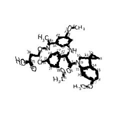 COc1cc(NC(C(=O)N2CC3(CC3)c3ccc(OC)cc32)c2ccc(Cl)cc2OC)cc(C(C)=NOCCC(=O)O)c1